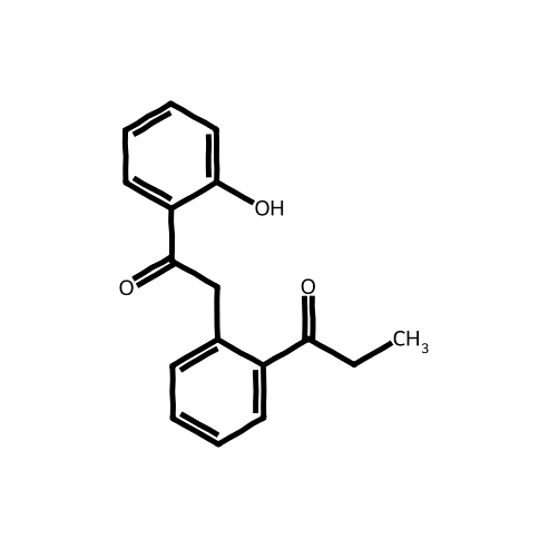 CCC(=O)c1ccccc1CC(=O)c1ccccc1O